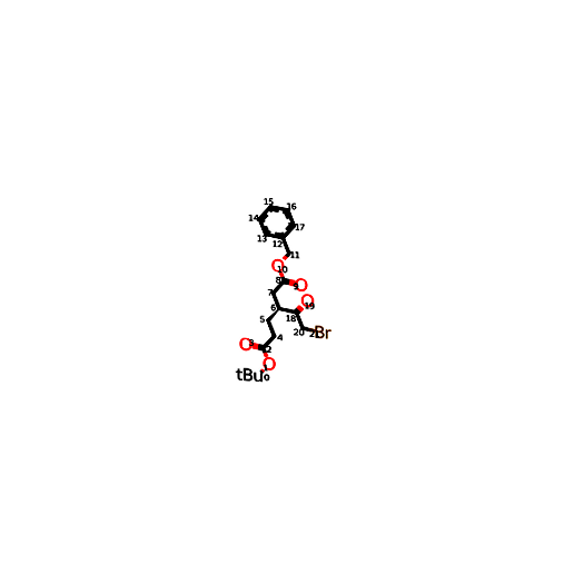 CC(C)(C)OC(=O)CC[C@@H](CC(=O)OCc1ccccc1)C(=O)CBr